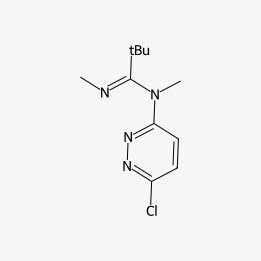 CN=C(N(C)c1ccc(Cl)nn1)C(C)(C)C